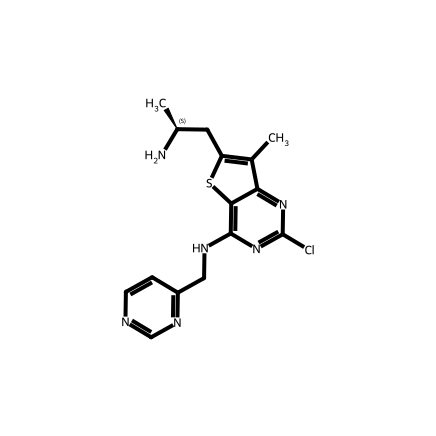 Cc1c(C[C@H](C)N)sc2c(NCc3ccncn3)nc(Cl)nc12